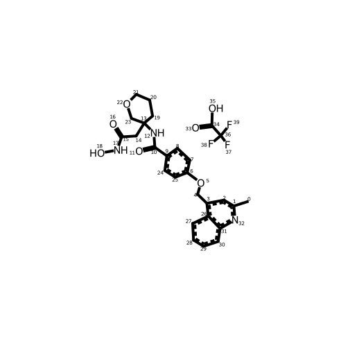 Cc1cc(COc2ccc(C(=O)NC3(CC(=O)NO)CCCOC3)cc2)c2ccccc2n1.O=C(O)C(F)(F)F